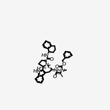 C[C@@H](C(=O)N[C@H]1Cc2c([nH]c3ccccc23)[C@H]2CC[C@H](C(=O)N[C@@H]3CCCc4ccccc43)N2C1)N(C)C(=O)OCc1ccccc1